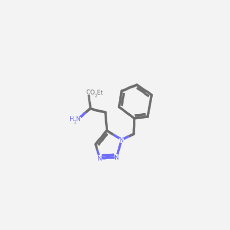 CCOC(=O)C(N)Cc1cnnn1Cc1ccccc1